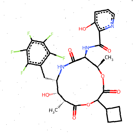 C[C@H]1OC(=O)C(C2CCC2)OC(=O)[C@H](C)[C@H](O)[C@H](Cc2c(F)c(F)c(F)c(F)c2F)NC(=O)[C@H]1NC(=O)c1ncccc1O